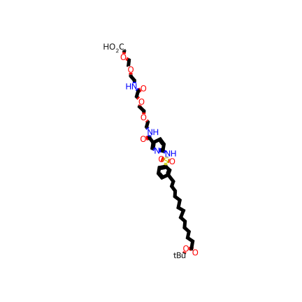 CC(C)(C)OC(=O)CCCCCCCCCCCCCc1cccc(S(=O)(=O)Nc2ccc(C(=O)NCCOCCOCC(=O)NCCOCCOCC(=O)O)cn2)c1